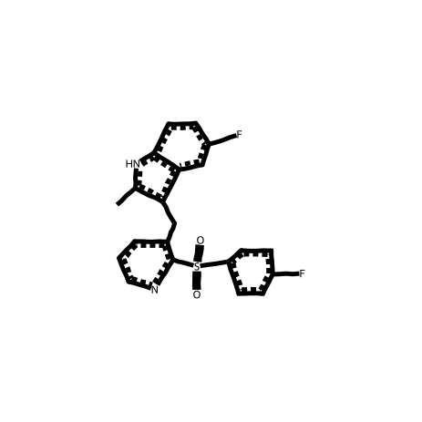 Cc1[nH]c2ccc(F)cc2c1Cc1cccnc1S(=O)(=O)c1ccc(F)cc1